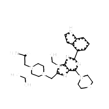 CCn1c(CN2CCN(CC(N)=O)[C@@H](C(C)C)C2)nc2c(N3CCOCC3)nc(-c3cccc4[nH]ccc34)nc21